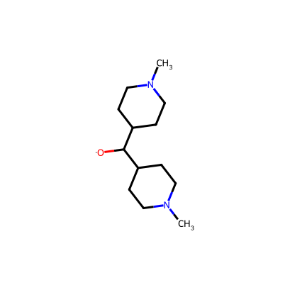 CN1CCC(C([O])C2CCN(C)CC2)CC1